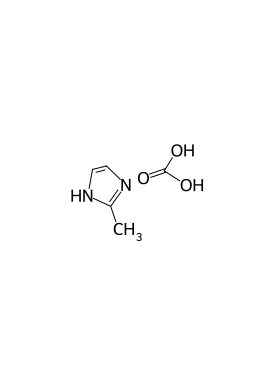 Cc1ncc[nH]1.O=C(O)O